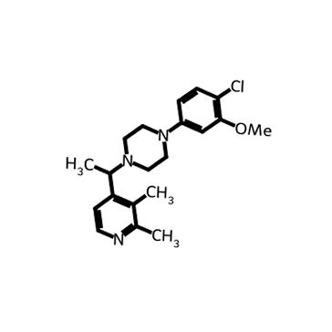 COc1cc(N2CCN(C(C)c3ccnc(C)c3C)CC2)ccc1Cl